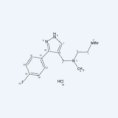 CNCCN(C)Cc1c[nH]nc1-c1ccc(F)cc1.Cl